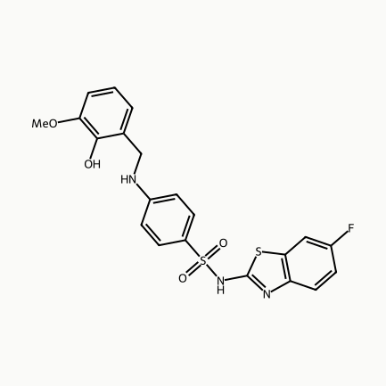 COc1cccc(CNc2ccc(S(=O)(=O)Nc3nc4ccc(F)cc4s3)cc2)c1O